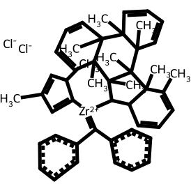 CC1=CC(C)[C]([Zr+2](=[C](c2ccccc2)c2ccccc2)[CH]2C3C=CC=C(C)C3(C)C3(C)C4(C)C=CC=CC4(C)C4(C)C=CC=CC4(C)C23C)=C1.[Cl-].[Cl-]